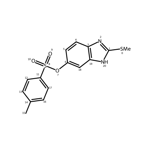 CSc1nc2ccc(OS(=O)(=O)c3ccc(C)cc3)cc2[nH]1